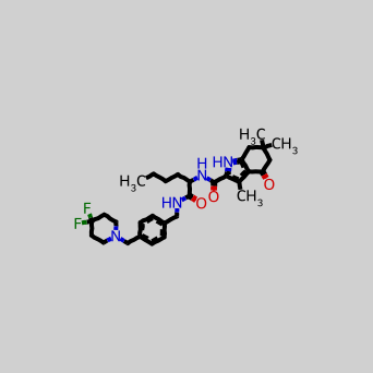 CCCCC(NC(=O)c1[nH]c2c(c1C)C(=O)CC(C)(C)C2)C(=O)NCc1ccc(CN2CCC(F)(F)CC2)cc1